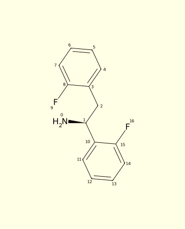 N[C@@H](Cc1ccccc1F)c1ccccc1F